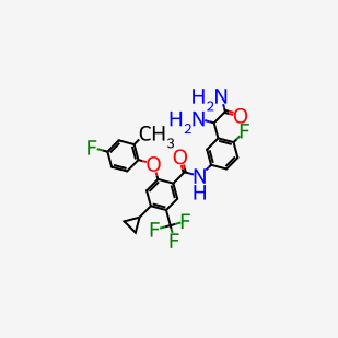 Cc1cc(F)ccc1Oc1cc(C2CC2)c(C(F)(F)F)cc1C(=O)Nc1ccc(F)c(C(N)C(N)=O)c1